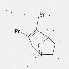 CC(C)C1=C(C(C)C)C2CCN(C1)C2